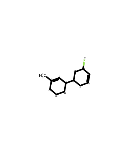 CC1=CC(C2CC=CC(F)C2)CCC1